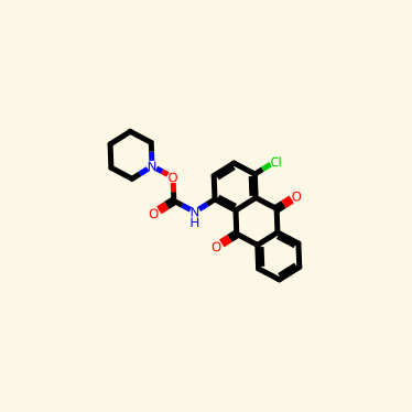 O=C(Nc1ccc(Cl)c2c1C(=O)c1ccccc1C2=O)ON1CCCCC1